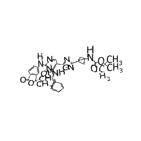 CC(C)(C)OC(=O)NC12CC(c3noc(-c4cnc(Nc5ccc6c(c5)C(C)(C)OC6=O)nc4N[C@H](CO)c4ccccc4)n3)(C1)C2